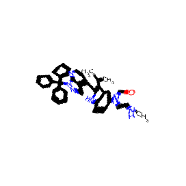 CNCCN(C=O)c1ccc2[nH]c(-c3ccnc4c3cnn4C(c3ccccc3)(c3ccccc3)c3ccccc3)c(C(C)C)c2c1